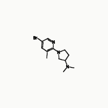 Cc1cc(Br)cnc1N1CCC(N(C)C)C1